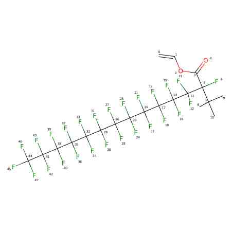 C=COC(=O)C(F)(C(C)(C)C)C(F)(F)C(F)(F)C(F)(F)C(F)(F)C(F)(F)C(F)(F)C(F)(F)C(F)(F)C(F)(F)C(F)(F)C(F)(F)C(F)(F)F